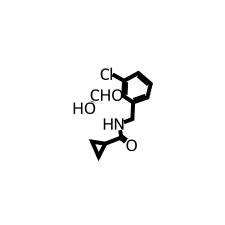 O=C(NCc1cccc(Cl)c1)C1CC1.O=CO